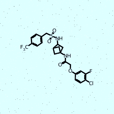 O=C(COc1ccc(Cl)c(F)c1)NC12CC(C1)C(NS(=O)(=O)Cc1ccc(C(F)(F)F)cc1)C2